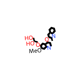 COc1cc2nccc(Oc3cc4ccccc4nc3C)c2cc1OCC(O)CO